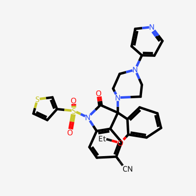 CCOc1ccccc1C1(N2CCN(c3ccncc3)CC2)C(=O)N(S(=O)(=O)c2ccsc2)c2ccc(C#N)cc21